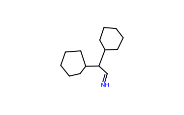 N=CC(C1CCCCC1)C1CCCCC1